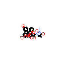 COc1ccc(C(c2ccccc2)(c2ccc(OC)cc2)C(O)[C@@]2(CSC)O[C@@H](n3cc(C)c(=O)[nH]c3=O)C[C@@]2(O)[Si](C)(C)C(C)(C)C)cc1